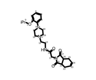 CC(C)Oc1ccccc1N1CCN(CCNC(=O)CN2C(=O)C3CC=CCC3C2=O)CC1